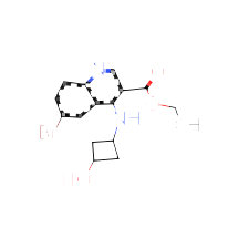 CCOC(=O)c1cnc2ccc(Br)cc2c1NC1CC(O)C1